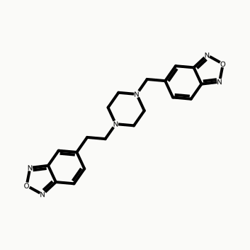 c1cc2nonc2cc1CCN1CCN(Cc2ccc3nonc3c2)CC1